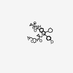 COc1ccc(-c2c(C3CCCCC3)c3ccc(C(=O)NS(=O)(=O)C4CC4)cc3n2CC2(C(=O)N3CCOC(CN(C)C)C3)CC2)cc1